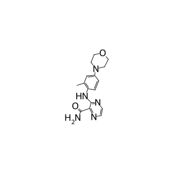 Cc1cc(N2CCOCC2)ccc1Nc1nccnc1C(N)=O